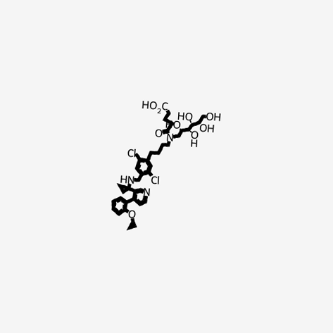 O=C(O)CCCC(=O)N(CCCCc1cc(Cl)c(CNC2(c3cnccc3-c3ccccc3OC3CC3)CC2)cc1Cl)C[C@H](O)[C@@H](O)[C@H](O)[C@H](O)CO